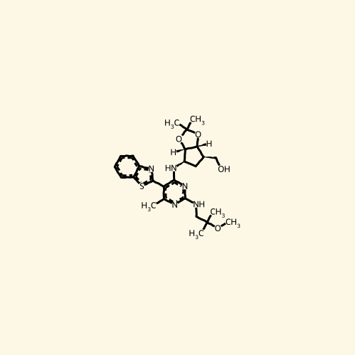 COC(C)(C)CNc1nc(C)c(-c2nc3ccccc3s2)c(N[C@@H]2C[C@H](CO)[C@H]3OC(C)(C)O[C@H]32)n1